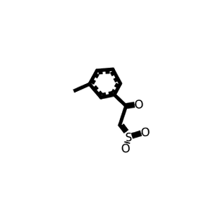 Cc1cccc(C(=O)C=S(=O)=O)c1